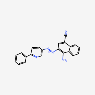 N#Cc1cc(/N=N/c2ccc(-c3ccccc3)nc2)c(N)c2ccccc12